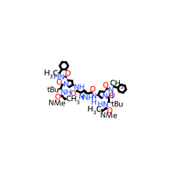 CN[C@@H](C)C(=O)N[C@H](C(=O)N1C[C@@H](NC(=O)c2cc(C(=O)N[C@H]3C[C@@H](C(=O)N[C@H](C)C4CCCCC4)N(C(=O)[C@@H](NC(=O)[C@H](C)NC)C(C)(C)C)C3)[nH]n2)C[C@H]1C(=O)N[C@H](C)C1CCCCC1)C(C)(C)C